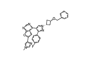 Cn1cnc(-c2cc3c(-c4cn([C@H]5C[C@H](OCc6ccccc6)C5)nc4-c4ccc(F)cc4)ncnc3o2)c1